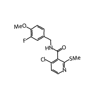 COc1ccc(CNC(=O)c2c(Cl)ccnc2SC)cc1F